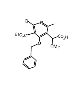 CCOC(=O)c1c(Cl)nc(C)c(C(OC)C(=O)O)c1OCc1ccccc1